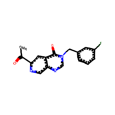 COC(=O)c1cc2c(=O)n(Cc3cccc(F)c3)cnc2cn1